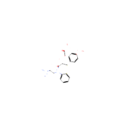 COC(=O)CO[C@@H]1C(=O)N(CCN(C)C)c2ccccc2S[C@@H]1c1ccc(OC)cc1